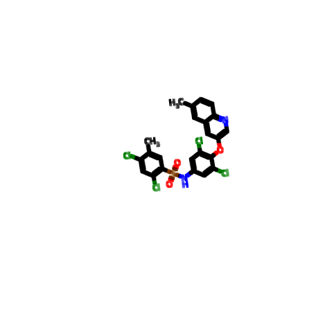 Cc1ccc2ncc(Oc3c(Cl)cc(NS(=O)(=O)c4cc(C)c(Cl)cc4Cl)cc3Cl)cc2c1